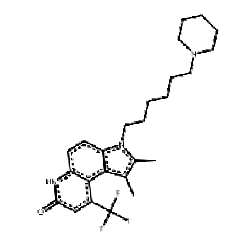 Cc1c(C)n(CCCCCCN2CCCCC2)c2ccc3[nH]c(=O)cc(C(F)(F)F)c3c12